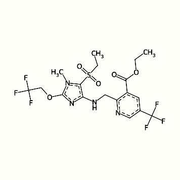 CCOC(=O)c1cc(C(F)(F)F)cnc1CNc1nc(OCC(F)(F)F)n(C)c1S(=O)(=O)CC